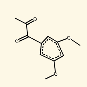 COc1cc(OC)cc(C(=O)C(C)=O)c1